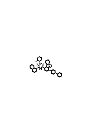 CC1CC=CC=C1c1nc(-c2cccc3ccccc23)nc(-c2ccc(-c3ccc(-c4ccccc4)cc3)c3oc4ccccc4c23)n1